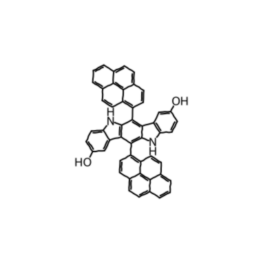 Oc1ccc2[nH]c3c(-c4ccc5ccc6cccc7ccc4c5c67)c4c([nH]c5ccc(O)cc54)c(-c4ccc5ccc6cccc7ccc4c5c67)c3c2c1